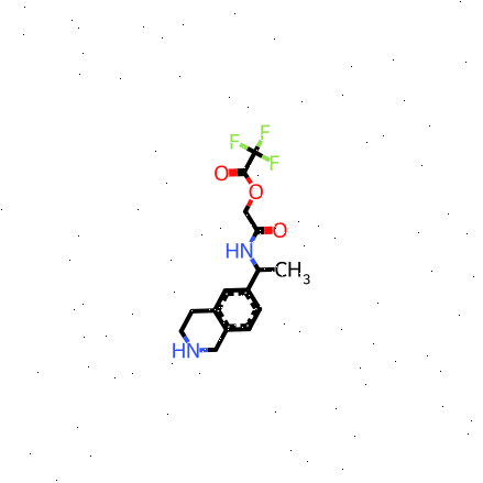 CC(NC(=O)COC(=O)C(F)(F)F)c1ccc2c(c1)CCNC2